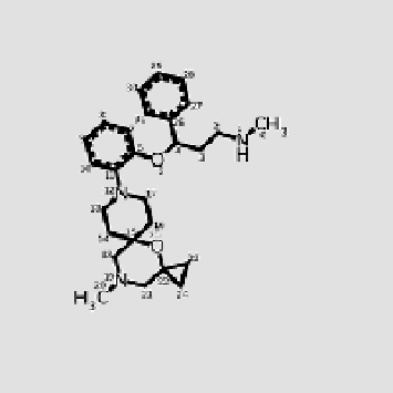 CNCCC(Oc1ccccc1N1CCC2(CC1)CN(C)CC1(CC1)O2)c1ccccc1